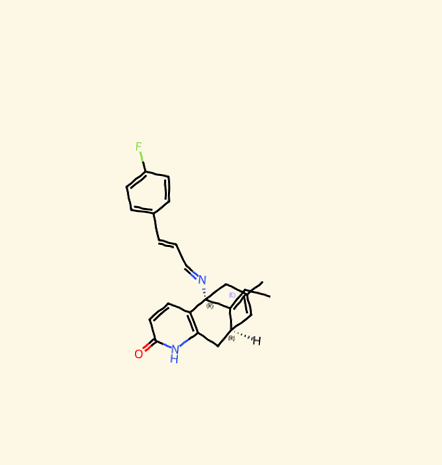 C/C=C1\[C@H]2C=C(C)C[C@]1(N=CC=Cc1ccc(F)cc1)c1ccc(=O)[nH]c1C2